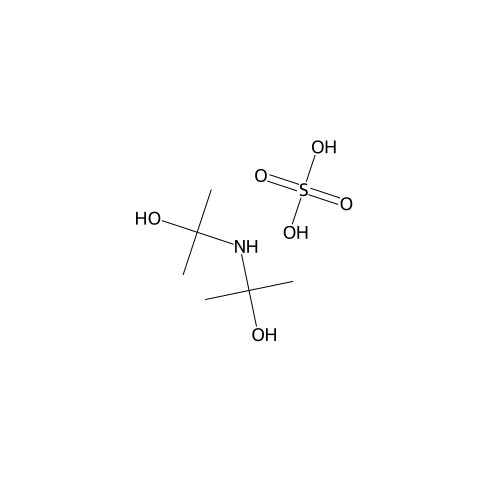 CC(C)(O)NC(C)(C)O.O=S(=O)(O)O